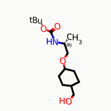 C[C@H](COC1CCC(CO)CC1)NC(=O)OC(C)(C)C